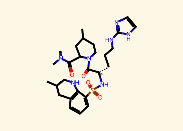 CC1CNc2c(cccc2S(=O)(=O)N[C@@H](CCCNc2ncc[nH]2)C(=O)N2CCC(C)CC2C(=O)N(C)C)C1